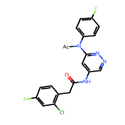 CC(=O)N(c1ccc(F)cc1)c1cc(NC(=O)Cc2ccc(F)cc2Cl)cnn1